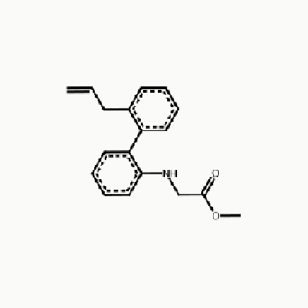 C=CCc1ccccc1-c1ccccc1NCC(=O)OC